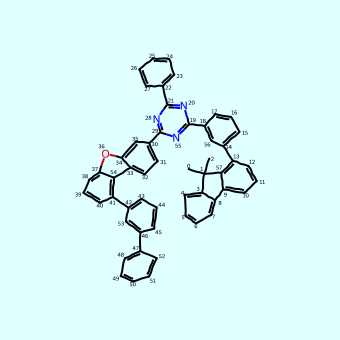 CC1(C)c2ccccc2-c2cccc(-c3cccc(-c4nc(-c5ccccc5)nc(-c5ccc6c(c5)oc5cccc(-c7cccc(-c8ccccc8)c7)c56)n4)c3)c21